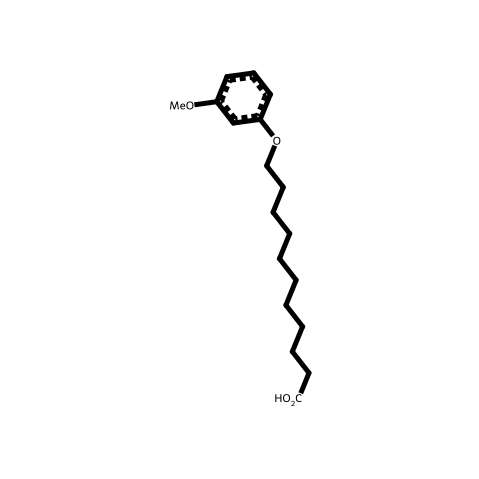 COc1cccc(OCCCCCCCCCCC(=O)O)c1